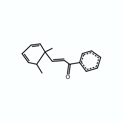 CC1C=CC=CC1(C)C=CC(=O)c1ccccc1